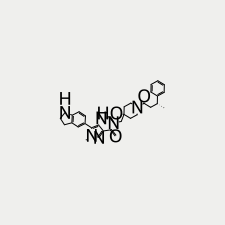 C[C@H](CC(=O)N1CCC(O)(Cn2cnc3c(-c4ccc5c(c4)CCN5)n(C)nc3c2=O)CC1)c1ccccc1